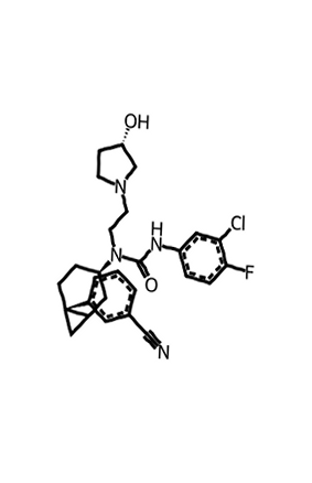 N#Cc1cccc([C@@]23CC[C@@H](N(CCN4CC[C@H](O)C4)C(=O)Nc4ccc(F)c(Cl)c4)CC2C3)c1